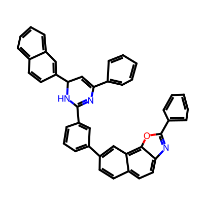 C1=C(c2ccccc2)N=C(c2cccc(-c3ccc4ccc5nc(-c6ccccc6)oc5c4c3)c2)NC1c1ccc2ccccc2c1